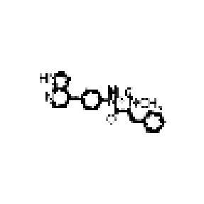 CN(C)C(=Cc1ccccc1)C(=O)Nc1ccc(-c2ccnc3[nH]ccc23)cc1